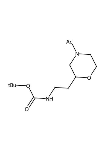 CC(=O)N1CCOC(CCNC(=O)OC(C)(C)C)C1